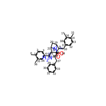 Cc1ccc(/C=C2/C(=O)/C(=C/c3ccc(C)c(C)c3)C3CC2N3C(=O)[C@@H](N)Cc2ccccc2)cc1C